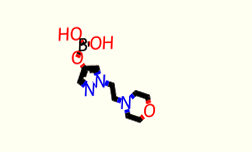 OB(O)Oc1cnn(CCN2CCOCC2)c1